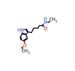 CCNC(=O)CCCCc1c[nH]c2ccc(OCC)cc12